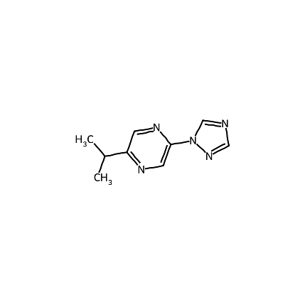 CC(C)c1cnc(-n2cncn2)cn1